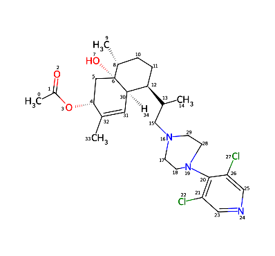 CC(=O)O[C@@H]1[CH][C@@]2(O)[C@H](C)CC[C@@H](C(C)CN3CCN(c4c(Cl)cncc4Cl)CC3)[C@H]2C=C1C